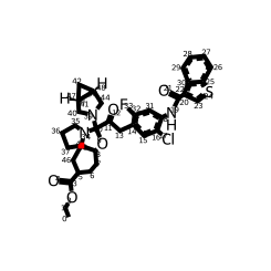 CCOC(=O)C1CCC(OC(C(=O)Cc2cc(Cl)c(NC(=O)c3csc4ccccc34)cc2F)(N2CCCC2)N2C[C@@H]3C[C@H]3C2)CC1